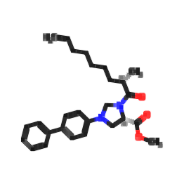 C=CCCCCC[C@H](C)C(=O)N1CN(c2ccc(-c3ccccc3)cc2)C[C@H]1C(=O)OC